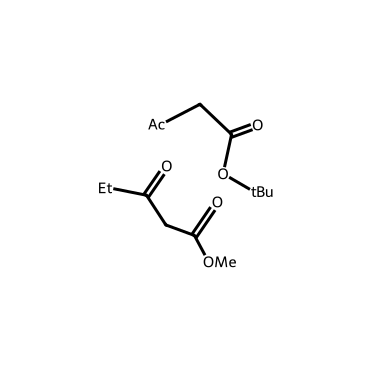 CC(=O)CC(=O)OC(C)(C)C.CCC(=O)CC(=O)OC